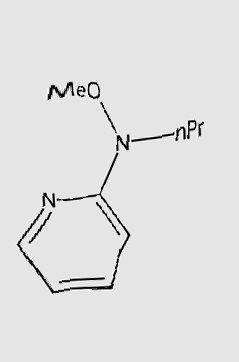 CCCN(OC)c1ccccn1